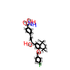 CC1(C)CCC(C)(C)c2c(OCc3ccc(F)cc3)cc(C(O)C#Cc3ccc(C(=O)NO)cc3)cc21